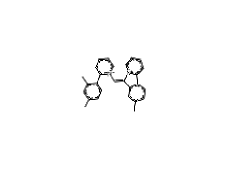 Cc1ccc(-c2cccc[n+]2/C=C2/c3cc(C)ccc3-c3cccc[n+]32)c(C)c1